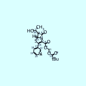 C[C@@H](O)[C@H]1C(=O)N2C(C(=O)OCOC(=O)C(C)(C)C)=C(c3cccnc3)S[C@H]12